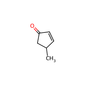 CC1C=CC(=O)C1